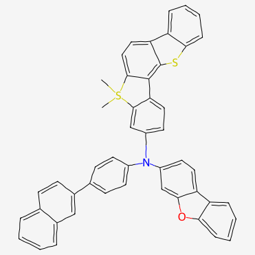 CS1(C)c2cc(N(c3ccc(-c4ccc5ccccc5c4)cc3)c3ccc4c(c3)oc3ccccc34)ccc2-c2c1ccc1c2sc2ccccc21